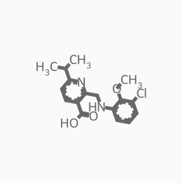 COc1c(Cl)cccc1NCc1nc(C(C)C)ccc1C(=O)O